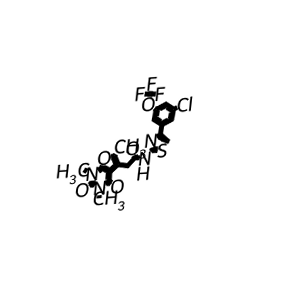 Cc1oc2c(c1CC(=O)Nc1nc(-c3cc(Cl)cc(OC(F)(F)F)c3)cs1)c(=O)n(C)c(=O)n2C